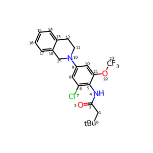 CC(C)(C)CC(=O)Nc1c(Cl)cc(N2CCc3ccccc3C2)cc1OC(F)(F)F